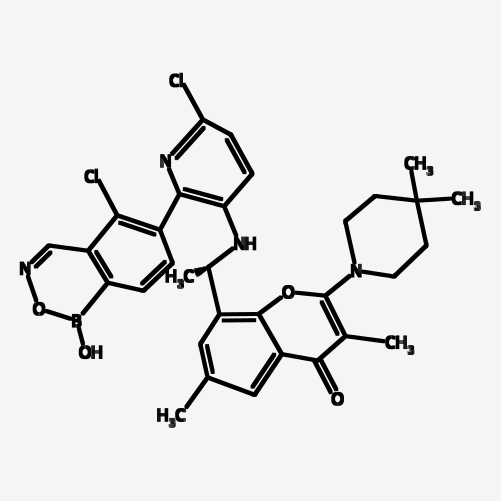 Cc1cc([C@@H](C)Nc2ccc(Cl)nc2-c2ccc3c(c2Cl)C=NOB3O)c2oc(N3CCC(C)(C)CC3)c(C)c(=O)c2c1